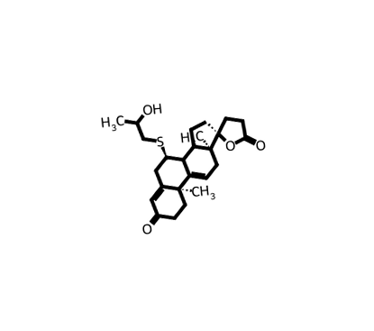 CC(O)CS[C@@H]1CC2=CC(=O)CC[C@]2(C)C2=CC[C@@]3(C)C(CC[C@@]34CCC(=O)O4)C21